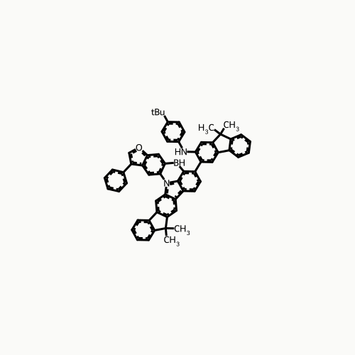 CC(C)(C)c1ccc(Nc2cc3c(cc2-c2ccc4c5cc6c(cc5n5c4c2Bc2cc4occ(-c7ccccc7)c4cc2-5)-c2ccccc2C6(C)C)-c2ccccc2C3(C)C)cc1